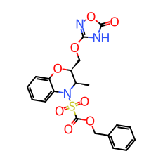 C[C@@H]1[C@H](COc2noc(=O)[nH]2)Oc2ccccc2N1S(=O)(=O)C(=O)OCc1ccccc1